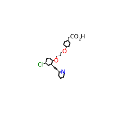 O=C(O)Cc1ccc(OCCCOc2ccc(Cl)cc2C#Cc2ccccn2)cc1